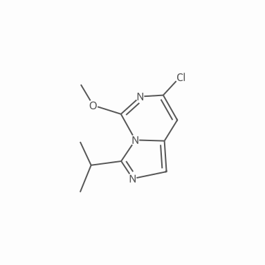 COc1nc(Cl)cc2cnc(C(C)C)n12